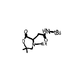 CCN1CC(C)(C)OC(=O)C1CC(=O)NC(C)(C)C